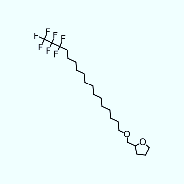 FC(F)(F)C(F)(F)C(F)(F)CCCCCCCCCCCCCCOCC1CCCO1